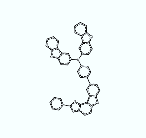 c1ccc(-c2nc3c(ccc4oc5ccc(-c6ccc(N(c7ccc8oc9ccccc9c8c7)c7ccc8oc9ccccc9c8c7)cc6)cc5c43)s2)cc1